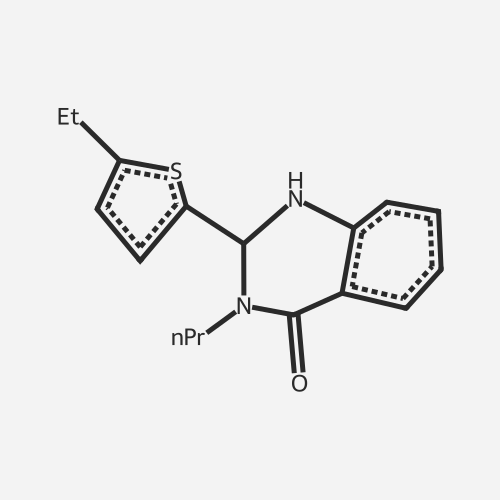 CCCN1C(=O)c2ccccc2NC1c1ccc(CC)s1